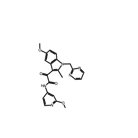 COc1ccc2c(c1)c(C(=O)C(=O)Nc1ccnc(OC)c1)c(C)n2Cc1ncccn1